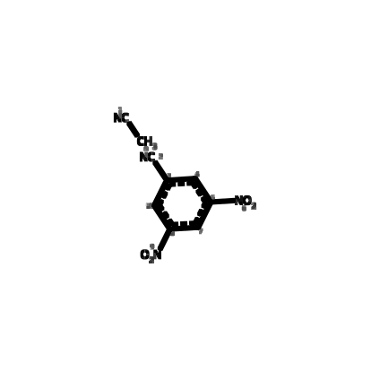 CC#N.N#Cc1cc([N+](=O)[O-])cc([N+](=O)[O-])c1